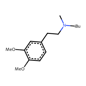 CCC(C)N(C)CCc1ccc(OC)c(OC)c1